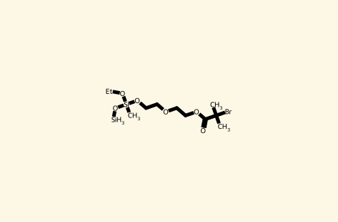 CCO[Si](C)(O[SiH3])OCCOCCOC(=O)C(C)(C)Br